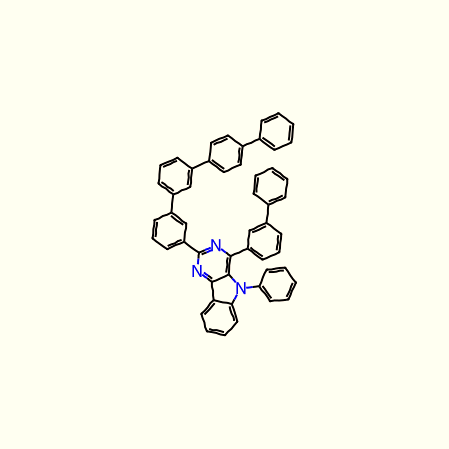 c1ccc(-c2ccc(-c3cccc(-c4cccc(-c5nc(-c6cccc(-c7ccccc7)c6)c6c(n5)c5ccccc5n6-c5ccccc5)c4)c3)cc2)cc1